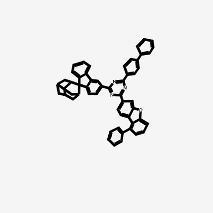 c1ccc(-c2ccc(-c3nc(-c4ccc5c(c4)-c4ccccc4C54C5CC6CC(C5)CC4C6)nc(-c4ccc5c(c4)oc4cccc(-c6ccccc6)c45)n3)cc2)cc1